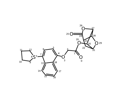 O=C(COc1ccc([S+]2CCCC2)c2ccccc12)OC1C2CC3C(=O)OC1C3O2